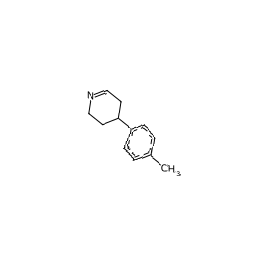 Cc1ccc(C2CC=NCC2)cc1